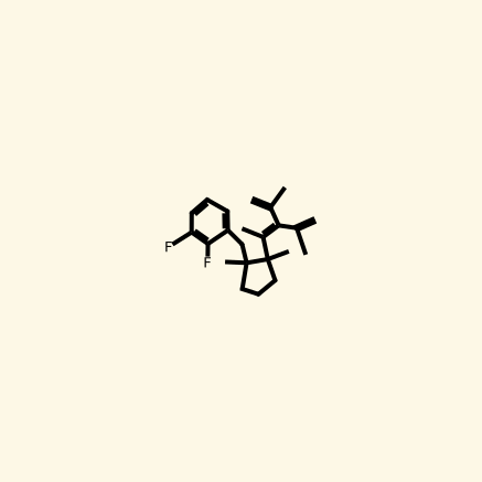 C=C(C)C(C(=C)C)=C(C)C1(C)CCCC1(C)Cc1cccc(F)c1F